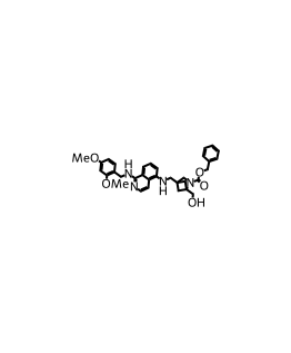 COc1ccc(CNc2nccc3c(NCC45CN(C(=O)OCc6ccccc6)C(CO)(C4)C5)cccc23)c(OC)c1